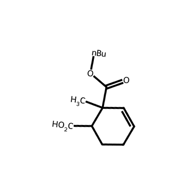 CCCCOC(=O)C1(C)C=CCCC1C(=O)O